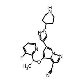 C[C@@H](Oc1cc(-c2cnn(C3CCNCC3)c2)cn2ncc(C#N)c12)c1ncccc1F